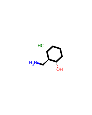 Cl.NC[C@H]1CCCC[C@@H]1O